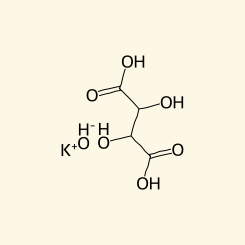 O=C(O)C(O)C(O)C(=O)O.[K+].[OH-]